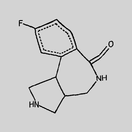 O=C1NCC2CNCC2c2cc(F)ccc21